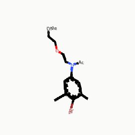 COCCOCCN(C(C)=O)c1cc(C)c(Br)c(C)c1